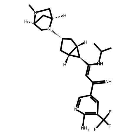 CC(C)N/C(=C\C(=N)c1cnc(N)c(C(F)(F)F)c1)[C@H]1[C@@H]2C[C@H](N3C[C@@H]4C[C@H]3CN4C)C[C@@H]21